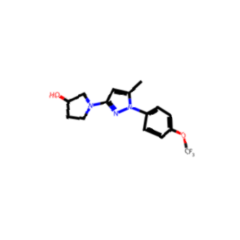 Cc1cc(N2CCC(O)C2)nn1-c1ccc(OC(F)(F)F)cc1